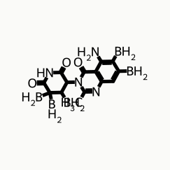 Bc1cc2nc(C)n(C3C(=O)NC(=O)C(B)(B)C3B)c(=O)c2c(N)c1B